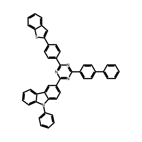 c1ccc(-c2ccc(-c3nc(-c4ccc(-c5cc6ccccc6s5)cc4)nc(-c4ccc5c(c4)c4ccccc4n5-c4ccccc4)n3)cc2)cc1